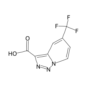 O=C(O)c1nnn2ccc(C(F)(F)F)cc12